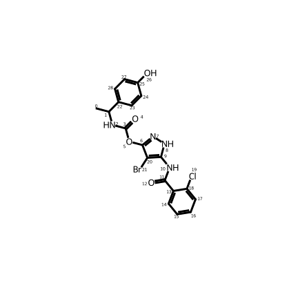 CC(NC(=O)Oc1n[nH]c(NC(=O)c2ccccc2Cl)c1Br)c1ccc(O)cc1